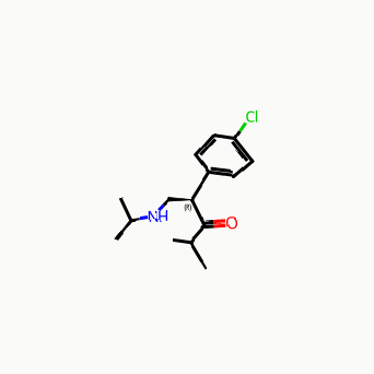 CC(C)NC[C@H](C(=O)C(C)C)c1ccc(Cl)cc1